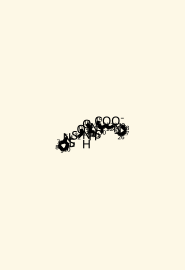 O=C(CSc1nc2ccccc2s1)N[C@@H]1C(=O)N2C(C(=O)[O-])=C(/C=C/C[n+]3ccccc3)CS[C@H]12